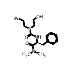 CC(C)CCN(CCO)C(=O)N[C@@H](Cc1ccccc1)C(=O)N(C)C